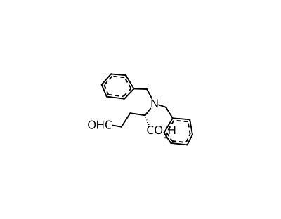 O=CCC[C@@H](C(=O)O)N(Cc1ccccc1)Cc1ccccc1